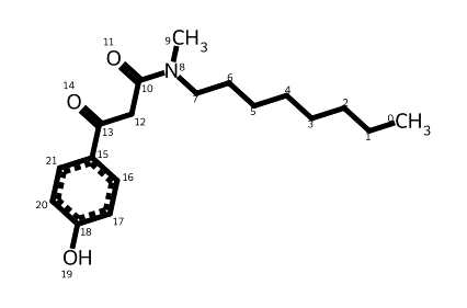 CCCCCCCCN(C)C(=O)CC(=O)c1ccc(O)cc1